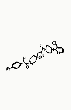 CC(C)c1ccc(NC(=O)N2CCC3(CC2)CC(C(=O)N2CCN(c4ncccc4Cl)CC2)=NO3)cc1